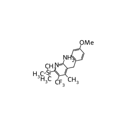 COc1ccc(Cc2c(N)nc([Si](C)(C)C)c(C(F)(F)F)c2C)cc1